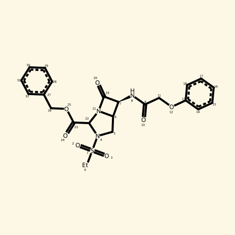 CCS(=O)(=O)N1CC2[C@H](NC(=O)COc3ccccc3)C(=O)N2C1C(=O)OCc1ccccc1